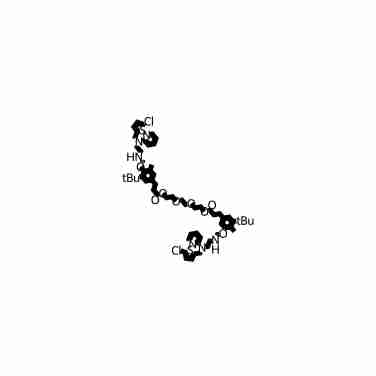 Cc1cc(CCC(=O)OCCOCCOCCOC(=O)CCc2cc(OCNCCN(Cc3ccc(Cl)s3)c3ccccn3)c(C)c(C(C)(C)C)c2)cc(C(C)(C)C)c1OCNCCN(Cc1ccc(Cl)s1)c1ccccn1